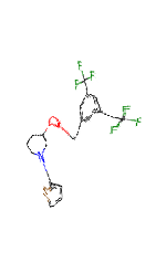 FC(F)(F)c1cc(COC2CCCN(c3cccs3)C2)cc(C(F)(F)F)c1